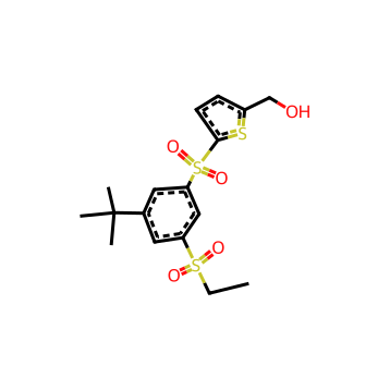 CCS(=O)(=O)c1cc(C(C)(C)C)cc(S(=O)(=O)c2ccc(CO)s2)c1